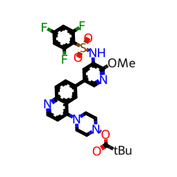 COc1ncc(-c2ccc3nccc(N4CCN(OC(=O)C(C)(C)C)CC4)c3c2)cc1NS(=O)(=O)c1c(F)cc(F)cc1F